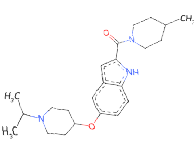 CC1CCN(C(=O)c2cc3cc(OC4CCN(C(C)C)CC4)ccc3[nH]2)CC1